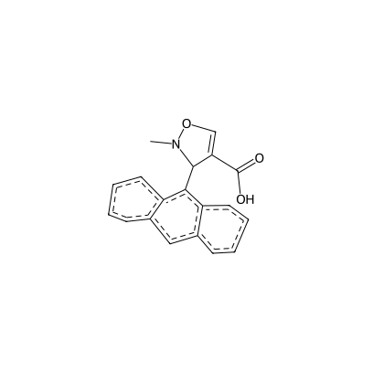 CN1OC=C(C(=O)O)C1c1c2ccccc2cc2ccccc12